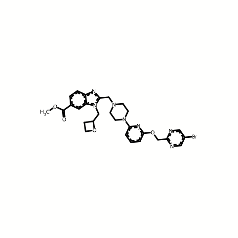 COC(=O)c1ccc2nc(CN3CCN(c4cccc(OCc5ncc(Br)cn5)n4)CC3)n(CC3CCO3)c2c1